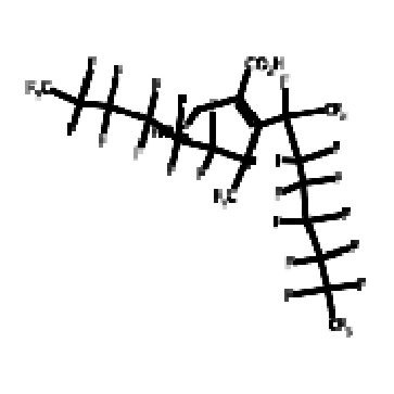 O=C(O)CC(C(=O)O)=C(C(F)(C(F)(F)F)C(F)(F)C(F)(F)C(F)(F)C(F)(F)C(F)(F)C(F)(F)F)C(F)(C(F)(F)F)C(F)(F)C(F)(F)C(F)(F)C(F)(F)C(F)(F)C(F)(F)F